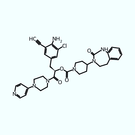 C#Cc1cc(C[C@@H](OC(=O)N2CCC(N3CCc4ccccc4NC3=O)CC2)C(=O)N2CCN(c3ccncc3)CC2)cc(Cl)c1N